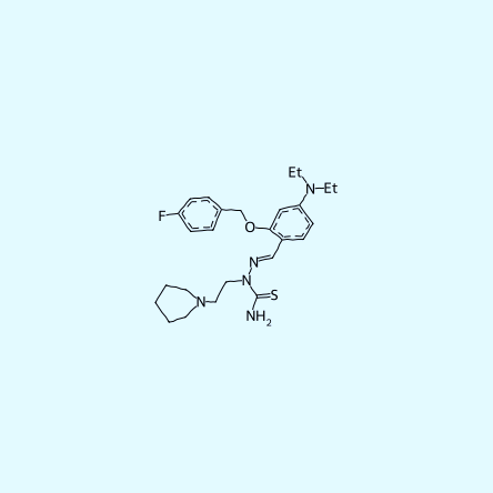 CCN(CC)c1ccc(/C=N/N(CCN2CCCCC2)C(N)=S)c(OCc2ccc(F)cc2)c1